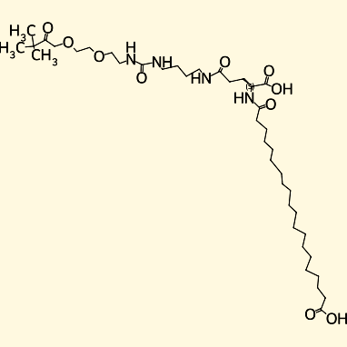 CC(C)(C)C(=O)COCCOCCNC(=O)NCCCCNC(=O)CC[C@H](NC(=O)CCCCCCCCCCCCCCCCCCC(=O)O)C(=O)O